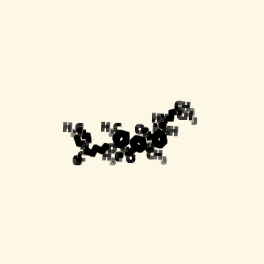 COc1cc(C(=O)N(C)c2ccc(C)cc2OCCCCC(=C=O)N2CCN(C)CC2)ccc1N(C=O)c1cccc2[nH]c(NCCN(C)C)nc12